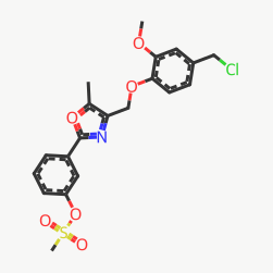 COc1cc(CCl)ccc1OCc1nc(-c2cccc(OS(C)(=O)=O)c2)oc1C